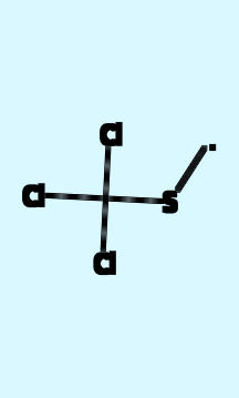 [CH2]SC(Cl)(Cl)Cl